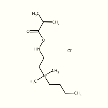 C=C(C)C(=O)ONCC[N+](C)(C)CCCC.[Cl-]